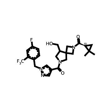 CC1(C)C[C@@H]1C(=O)N1CC2(CN(C(=O)c3cnn(Cc4ccc(F)cc4C(F)(F)F)c3)CC2CO)C1